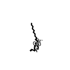 C=CC[N+]1(C)CCN(S(=O)(=O)CCCCCCCCCCC)CC1.[Br-]